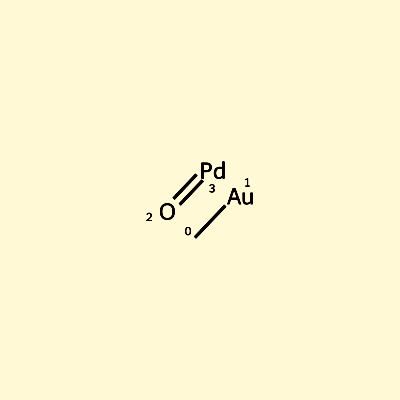 [CH3][Au].[O]=[Pd]